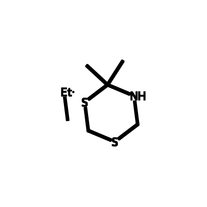 CC1(C)NCSCS1.C[CH]C